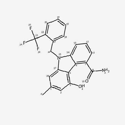 Cc1cc(O)c2c3c(C(N)=O)cccc3n(Cc3ccccc3C(F)(F)F)c2c1